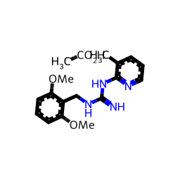 CC(=O)O.COc1cccc(OC)c1CNC(=N)Nc1ncccc1C